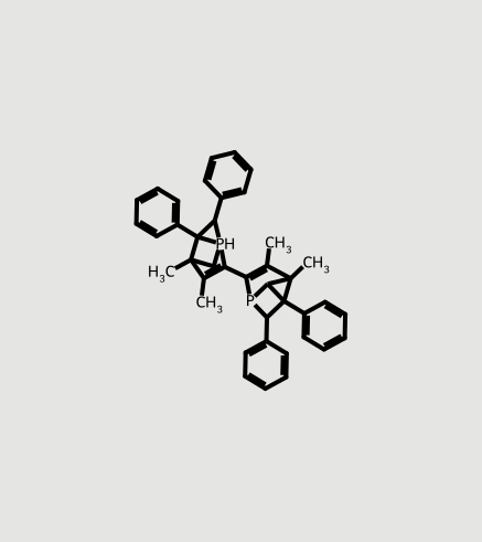 CC1=C(C2=C(C)C3(C)C4P2C(c2ccccc2)C43c2ccccc2)[PH]23CC1(C)C2(c1ccccc1)C3c1ccccc1